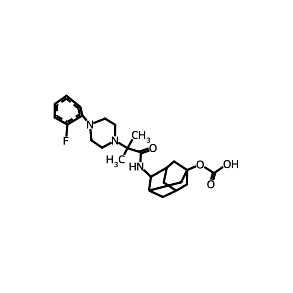 CC(C)(C(=O)NC1C2CC3CC1CC(OC(=O)O)(C3)C2)N1CCN(c2ccccc2F)CC1